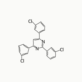 Clc1cccc(-c2cc(-c3cccc(Cl)c3)nc(-c3cccc(Cl)c3)n2)c1